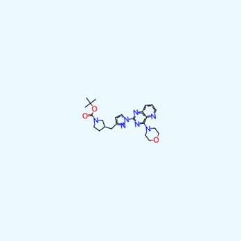 CC(C)(C)OC(=O)N1CCC(Cc2ccn(-c3nc(N4CCOCC4)c4ncccc4n3)n2)C1